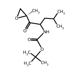 CC(C)CC(NC(=O)OC(C)(C)C)C(=O)[C@]1(C)CO1